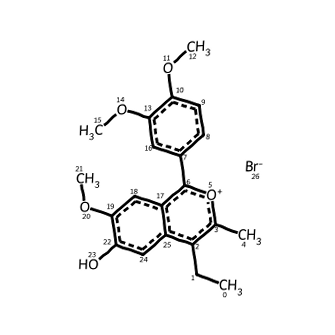 CCc1c(C)[o+]c(-c2ccc(OC)c(OC)c2)c2cc(OC)c(O)cc12.[Br-]